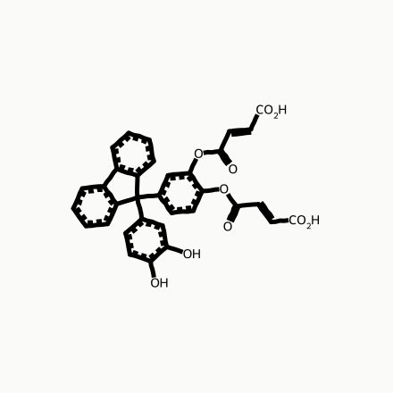 O=C(O)C=CC(=O)Oc1ccc(C2(c3ccc(O)c(O)c3)c3ccccc3-c3ccccc32)cc1OC(=O)C=CC(=O)O